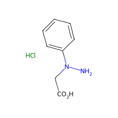 Cl.NN(CC(=O)O)c1ccccc1